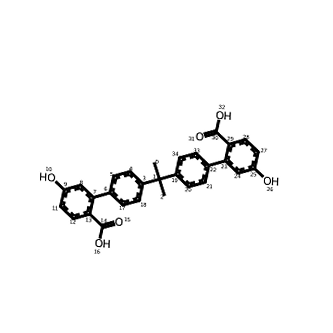 CC(C)(c1ccc(-c2cc(O)ccc2C(=O)O)cc1)c1ccc(-c2cc(O)ccc2C(=O)O)cc1